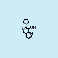 Oc1c(N2CCCC2)ncc2cccnc12